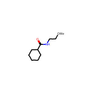 COCCNC(=O)C1CCCCC1